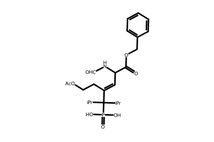 CC(=O)OCCC(=CC(NC=O)C(=O)OCc1ccccc1)C(C(C)C)(C(C)C)P(=O)(O)O